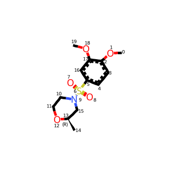 COc1ccc(S(=O)(=O)N2CCO[C@H](C)C2)cc1OC